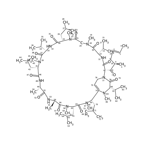 C/C=C/C[C@@H](C)C(=O)[C@H]1C(=O)N[C@@H](C(C)C)C(=O)N(C)CC(=O)N(C)[C@@H](CC(C)C)C(=O)N[C@@H](C(C)C)C(=O)N(C)[C@@H](CC(C)C)C(=O)N[C@@H](C)C(=O)N[C@H](C)C(=O)N(C)[C@@H](CC(C)C)C(=O)N(C)[C@@H](CC(C)C)C2=CCN1C(=O)[C@H](C(C)C)N2C